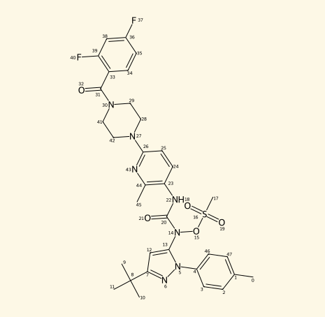 Cc1ccc(-n2nc(C(C)(C)C)cc2N(OS(C)(=O)=O)C(=O)Nc2ccc(N3CCN(C(=O)c4ccc(F)cc4F)CC3)nc2C)cc1